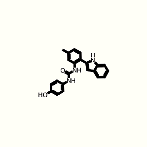 Cc1ccc(-c2cc3ccccc3[nH]2)c(NC(=O)Nc2ccc(O)cc2)c1